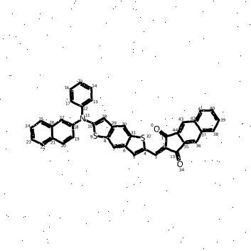 O=C1C(=Cc2cc3cc4sc(N(c5ccccc5)c5ccc6ccccc6c5)cc4cc3s2)C(=O)c2cc3ccccc3cc21